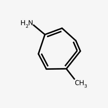 CC1=C=CC=C(N)C=C1